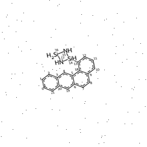 c1ccc2cc3c(ccc4cccc([SiH]5N[SiH2]N5)c43)cc2c1